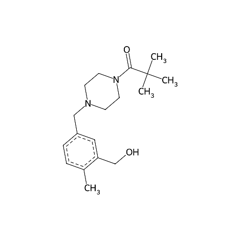 Cc1ccc(CN2CCN(C(=O)C(C)(C)C)CC2)cc1CO